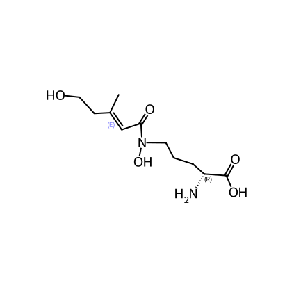 C/C(=C\C(=O)N(O)CCC[C@@H](N)C(=O)O)CCO